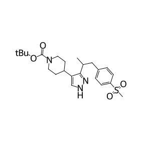 CC(Cc1ccc(S(C)(=O)=O)cc1)c1n[nH]cc1C1CCN(C(=O)OC(C)(C)C)CC1